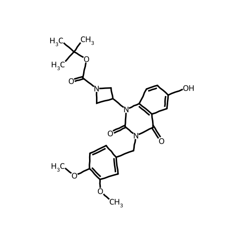 COc1ccc(Cn2c(=O)c3cc(O)ccc3n(C3CN(C(=O)OC(C)(C)C)C3)c2=O)cc1OC